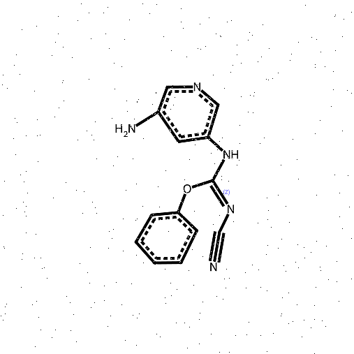 N#C/N=C(/Nc1cncc(N)c1)Oc1ccccc1